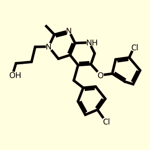 CC1=NC2=C(CN1CCCO)C(Cc1ccc(Cl)cc1)=C(Oc1cccc(Cl)c1)CN2